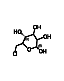 OC1C(O)[C@@H](O)OC(CCl)[C@@H]1O